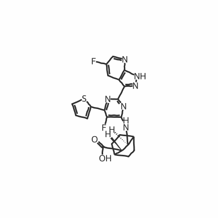 O=C(O)[C@H]1C2CCC(CC2)[C@@H]1Nc1nc(-c2n[nH]c3ncc(F)cc23)nc(-c2cccs2)c1F